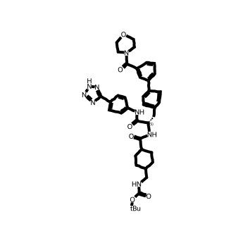 CC(C)(C)OC(=O)NCC1CCC(C(=O)N[C@@H](Cc2ccc(-c3cccc(C(=O)N4CCOCC4)c3)cc2)C(=O)Nc2ccc(-c3nn[nH]n3)cc2)CC1